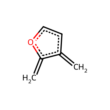 C=c1ccoc1=C